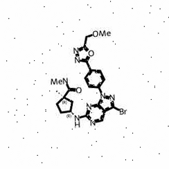 CNC(=O)[C@]1(C)CC[C@@H](Nc2ncc3c(Br)nn(-c4ccc(-c5nnc(COC)o5)cc4)c3n2)C1